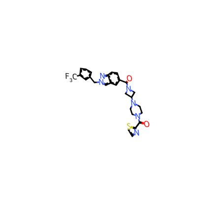 O=C(c1ccc2nn(Cc3cccc(C(F)(F)F)c3)cc2c1)N1CC(N2CCN(C(=O)c3nccs3)CC2)C1